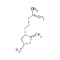 C=C(C)CCCC1CC(C)CC1=C